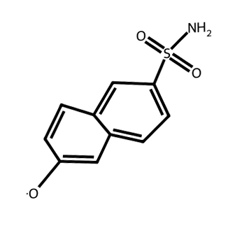 NS(=O)(=O)c1ccc2cc([O])ccc2c1